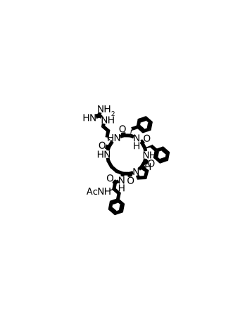 CC(=O)N[C@@H](Cc1ccccc1)C(=O)NC1CCCNC(=O)[C@H](CCCNC(=N)N)NC(=O)[C@H](Cc2ccccc2)NC(=O)[C@@H](Cc2ccccc2)NC(=O)[C@@H]2CCCN2C1=O